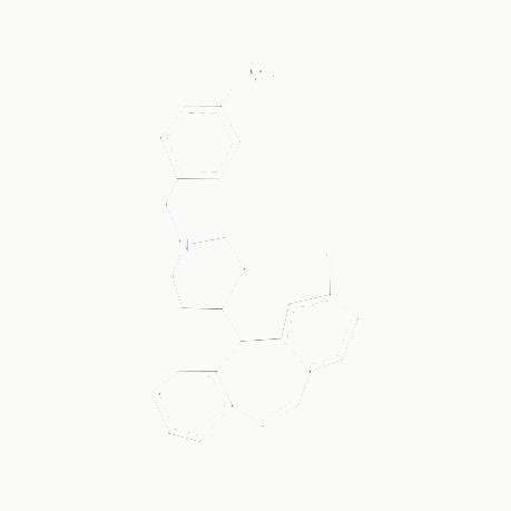 COc1ccc(CN2CCC(C3c4ccccc4C=Cc4ccc(Cl)cc43)CC2)cc1